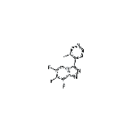 Cc1cnccc1-c1nnc2c(F)c(I)c(F)cn12